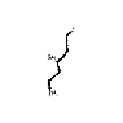 CCCCCCCl.[SiH4]